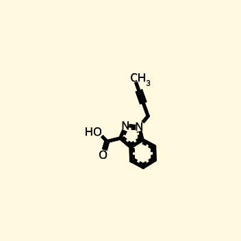 CC#CCn1nc(C(=O)O)c2ccccc21